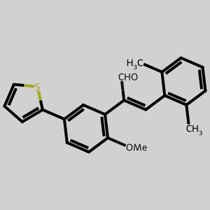 COc1ccc(-c2cccs2)cc1C(C=O)=Cc1c(C)cccc1C